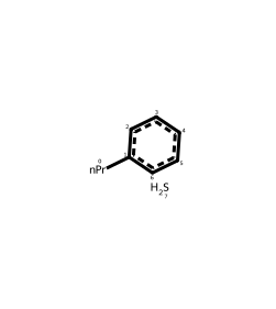 CCCc1ccccc1.S